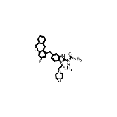 C[C@H](CN1CCOCC1)n1c(NC(N)=O)nc2cc(Cc3cc(F)cc4c3Cc3ccccc3CO4)ccc21